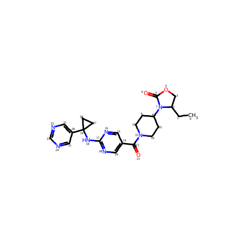 CCC1COC(=O)N1C1CCN(C(=O)c2cnc(NC3(c4cncnc4)CC3)nc2)CC1